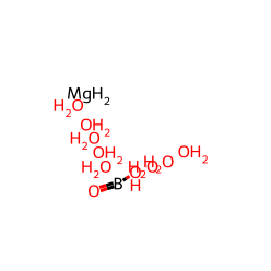 O.O.O.O.O.O.O.O.O=BO.[MgH2]